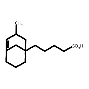 CC1C=C2CCCC(CCCCS(=O)(=O)O)(C2)C1